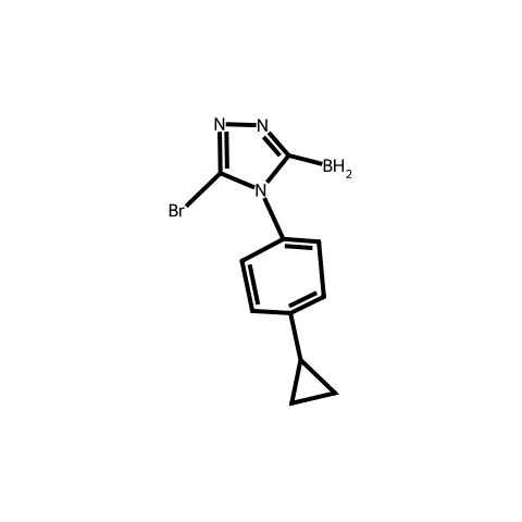 Bc1nnc(Br)n1-c1ccc(C2CC2)cc1